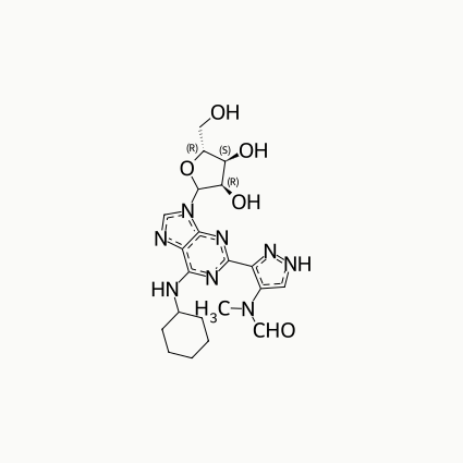 CN(C=O)c1c[nH]nc1-c1nc(NC2CCCCC2)c2ncn(C3O[C@H](CO)[C@@H](O)[C@H]3O)c2n1